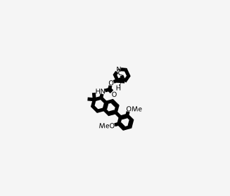 COc1cccc(OC)c1-c1ccc2c(c1)CCC(C)(C)C2NC(=O)O[C@H]1CN2CCC1CC2